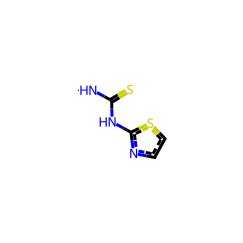 [NH]C(=S)Nc1nccs1